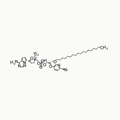 CCCCCCCCCCCCCCCCCCOC[C@@H](COP(=O)(O)OC[C@]1(C)CC[C@H](c2ccc3c(N)ncnn23)O1)Oc1ccc(C#N)nc1